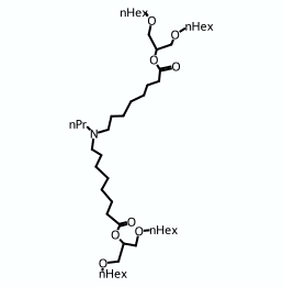 CCCCCCOCC(COCCCCCC)OC(=O)CCCCCCCN(CCC)CCCCCCCC(=O)OC(COCCCCCC)COCCCCCC